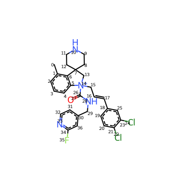 Cc1cccc2c1C1(CCNCC1)C[N+]2(C/C=C/c1ccc(Cl)c(Cl)c1)C(=O)NCc1ccnc(F)c1